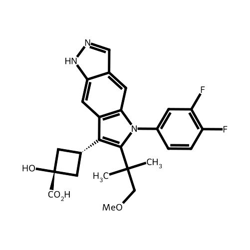 COCC(C)(C)c1c([C@H]2C[C@](O)(C(=O)O)C2)c2cc3[nH]ncc3cc2n1-c1ccc(F)c(F)c1